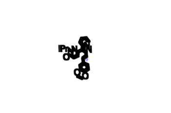 CC(C)n1nc(-c2c(/C=C/c3ccc4c(c3)OCCO4)nn3ccccc23)ccc1=O